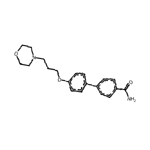 NC(=O)c1ccc(-c2ccc(OCCCN3CCOCC3)cc2)cc1